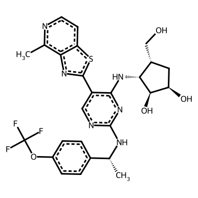 Cc1nccc2sc(-c3cnc(N[C@H](C)c4ccc(OC(F)(F)F)cc4)nc3N[C@@H]3[C@H](CO)C[C@@H](O)[C@H]3O)nc12